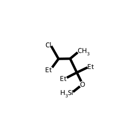 CCC(Cl)C(C)C(CC)(CC)O[SiH3]